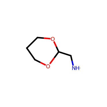 [NH]CC1OCCCO1